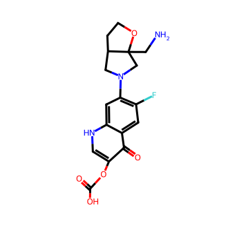 NCC12CN(c3cc4[nH]cc(OC(=O)O)c(=O)c4cc3F)CC1CCO2